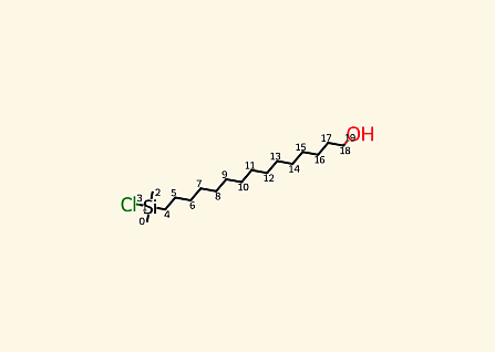 C[Si](C)(Cl)CCCCCCCCCCCCCCCO